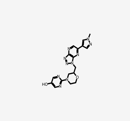 Cn1cc(-c2cnc3nnn(CC4CN(c5ncc(O)cn5)CCO4)c3n2)cn1